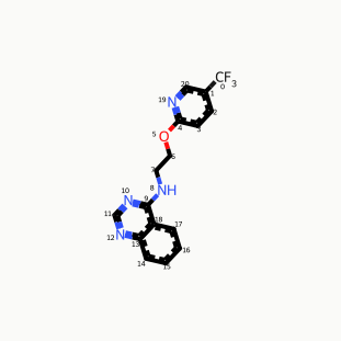 FC(F)(F)c1ccc(OCCNc2ncnc3ccccc23)nc1